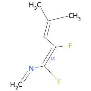 C=N/C(F)=C(/F)C=C(C)C